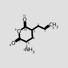 C=CCC1C[C@H](N)C(=O)OC1=O